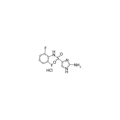 Cl.Nc1nc(S(=O)(=O)Nc2c(F)cccc2F)c[nH]1